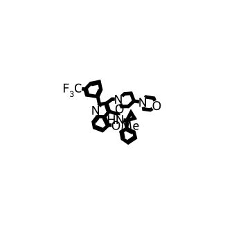 COc1cccc2nc(-c3cccc(C(F)(F)F)c3)c(CN3CCC(N4CCOCC4)CC3)c(C(=O)NC3(c4ccccc4)CC3)c12